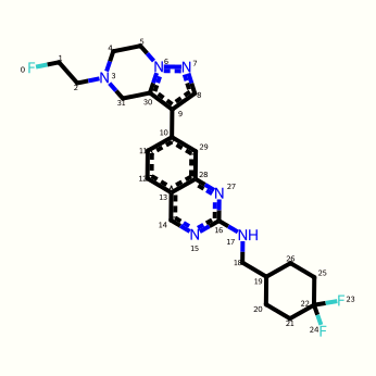 FCCN1CCn2ncc(-c3ccc4cnc(NCC5CCC(F)(F)CC5)nc4c3)c2C1